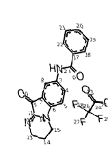 O=C(Nc1ccc2c(c1)C(=O)C1=NCCCN12)c1ccccc1.O=C(O)C(F)(F)F